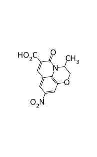 CC1COc2cc([N+](=O)[O-])cc3cc(C(=O)O)c(=O)n1c23